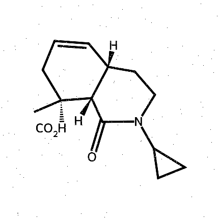 C[C@@]1(C(=O)O)CC=C[C@@H]2CCN(C3CC3)C(=O)[C@@H]21